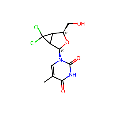 Cc1cn([C@@H]2O[C@H](CO)C3C2C3(Cl)Cl)c(=O)[nH]c1=O